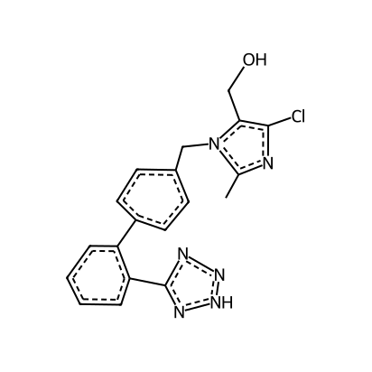 Cc1nc(Cl)c(CO)n1Cc1ccc(-c2ccccc2-c2nn[nH]n2)cc1